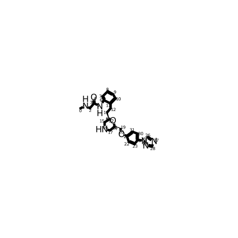 CNCC(=O)Nc1ccccc1CC[C@@H]1CNC[C@@H](COc2ccc(-n3cncn3)cc2)O1